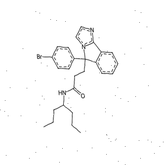 CCCC(CCC)NC(=O)CCC1(c2ccc(Br)cc2)c2ccccc2-c2nccn21